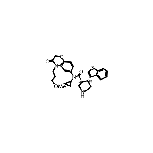 COCCCN1C(=O)COc2ccc(N(C(=O)[C@@H]3CNCC[C@H]3c3csc4ccccc34)C3CC3)cc21